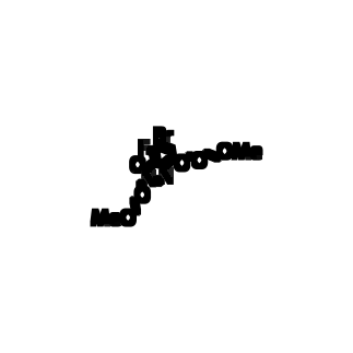 COCCOCOc1cc(Br)c(F)c2c(=O)n(COCCOC)cnc12